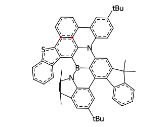 CC(C)(C)c1ccc(N2c3cc4c(c5c3B(c3c2ccc2sc6ccccc6c32)N2c3c-5cc(C(C)(C)C)cc3C3(C)CCCCC23C)-c2ccccc2C4(C)C)c(-c2ccccc2)c1